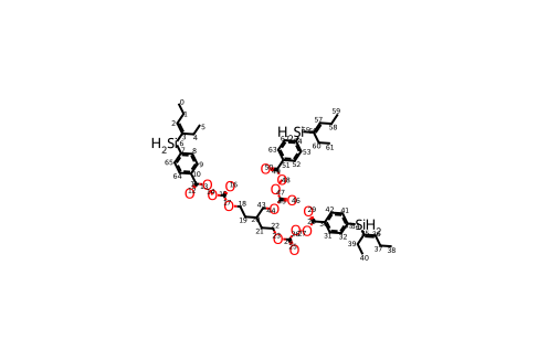 CC/C=C(\CC)[SiH2]c1ccc(C(=O)OOC(=O)OCCC(CCOC(=O)OOC(=O)c2ccc([SiH2]/C(=C/CC)CC)cc2)COC(=O)OOC(=O)c2ccc([SiH2]/C(=C/CC)CC)cc2)cc1